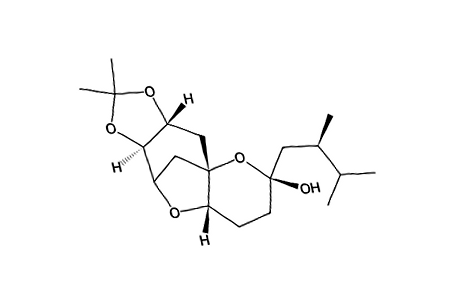 CC(C)[C@H](C)C[C@]1(O)CC[C@@H]2OC3C[C@]2(C[C@H]2OC(C)(C)O[C@H]32)O1